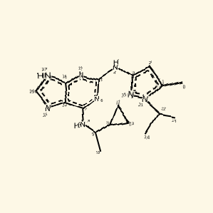 Cc1cc(Nc2nc(NC(C)C3CC3)c3nc[nH]c3n2)nn1C(C)C